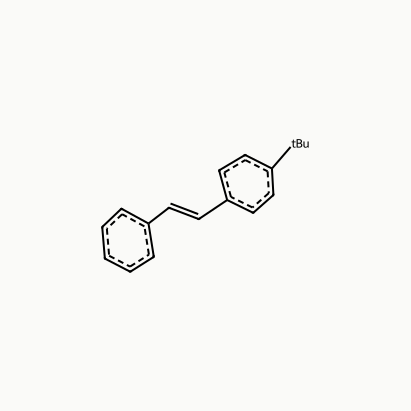 CC(C)(C)c1ccc(C=Cc2ccccc2)cc1